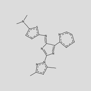 Cc1cc(C)n(C2=NC(=Nc3ccc(N(C)C)s3)C(c3ccccn3)=N2)n1